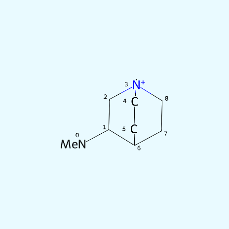 CNC1C[N+]2CCC1CC2